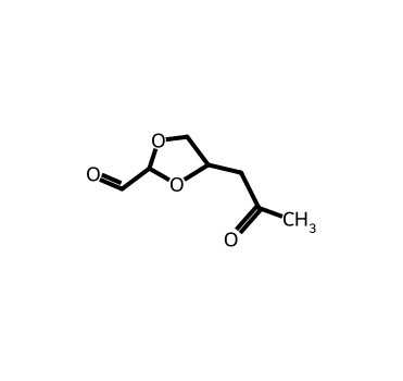 CC(=O)CC1COC(C=O)O1